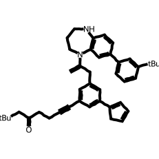 C=C(Cc1cc(C#CCCC(=O)CC(C)(C)C)cc(C2=CC=CC2)c1)N1CCCNc2ccc(-c3cccc(C(C)(C)C)c3)cc21